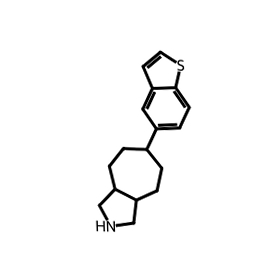 c1cc2cc(C3CCC4CNCC4CC3)ccc2s1